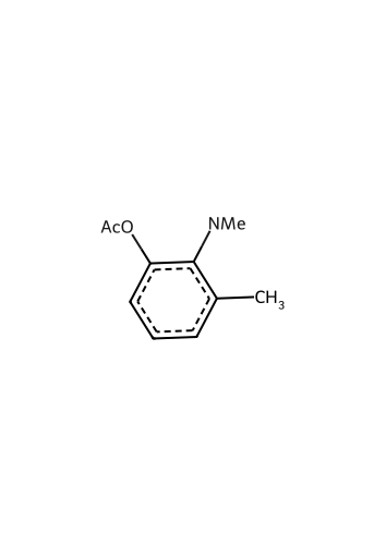 CNc1c(C)cccc1OC(C)=O